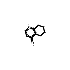 O=c1ccoc2c1CCCC2